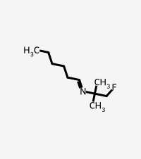 CCCCCC=NC(C)(C)CF